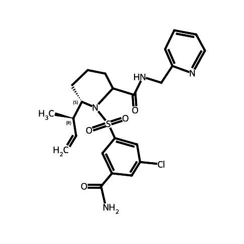 C=C[C@@H](C)[C@@H]1CCCC(C(=O)NCc2ccccn2)N1S(=O)(=O)c1cc(Cl)cc(C(N)=O)c1